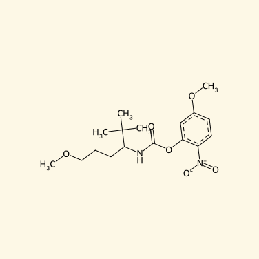 COCCCC(NC(=O)Oc1cc(OC)ccc1[N+](=O)[O-])C(C)(C)C